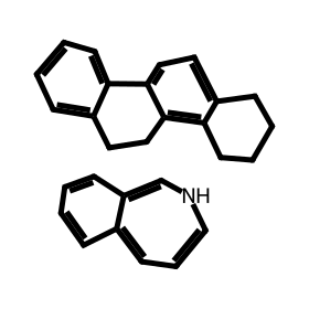 C1=CNC=c2ccccc2=C1.c1ccc2c(c1)CCc1c-2ccc2c1CCCC2